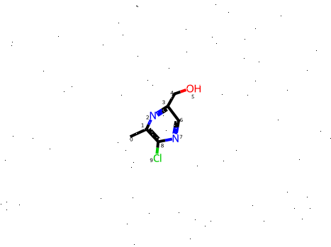 Cc1nc(CO)cnc1Cl